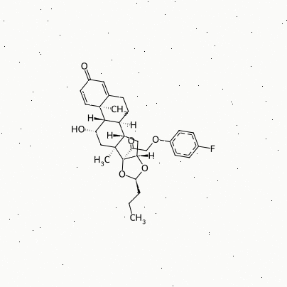 CCC[C@@H]1O[C@H]2C[C@H]3[C@@H]4CCC5=CC(=O)C=C[C@]5(C)[C@H]4[C@@H](O)C[C@]3(C)[C@]2(C(=O)COc2ccc(F)cc2)O1